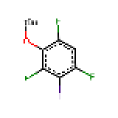 CC(C)(C)Oc1c(F)cc(F)c(I)c1F